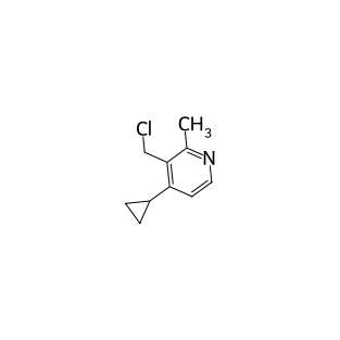 Cc1nccc(C2CC2)c1CCl